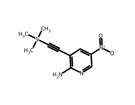 C[Si](C)(C)C#Cc1cc([N+](=O)[O-])cnc1N